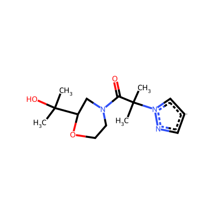 CC(C)(O)C1CN(C(=O)C(C)(C)n2c[c]cn2)CCO1